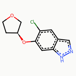 Clc1cc2cn[nH]c2cc1O[C@H]1CCOC1